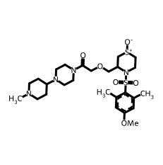 COc1cc(C)c(S(=O)(=O)N2CC[S+]([O-])CC2COCC(=O)N2CCN(C3CCN(C)CC3)CC2)c(C)c1